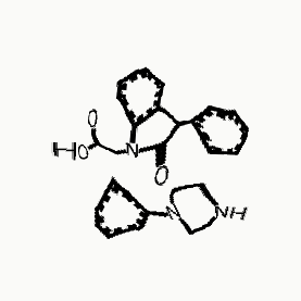 O=C(O)CN1C(=O)C(c2ccccc2)c2ccccc21.c1ccc(N2CCNCC2)cc1